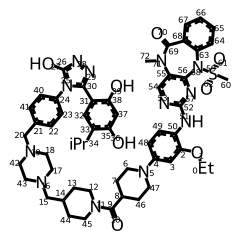 CCOc1cc(N2CCC(C(=O)N3CCC(CN4CCN(Cc5ccc(-n6c(O)nnc6-c6cc(C(C)C)c(O)cc6O)cc5)CC4)CC3)CC2)ccc1Nc1ncc2c(n1)N(S(C)(=O)=O)c1ccccc1C(=O)N2C